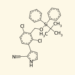 CC(C)(C)[Si](OCc1c(Cl)ccc(-c2cc[nH]c2C#N)c1Cl)(c1ccccc1)c1ccccc1